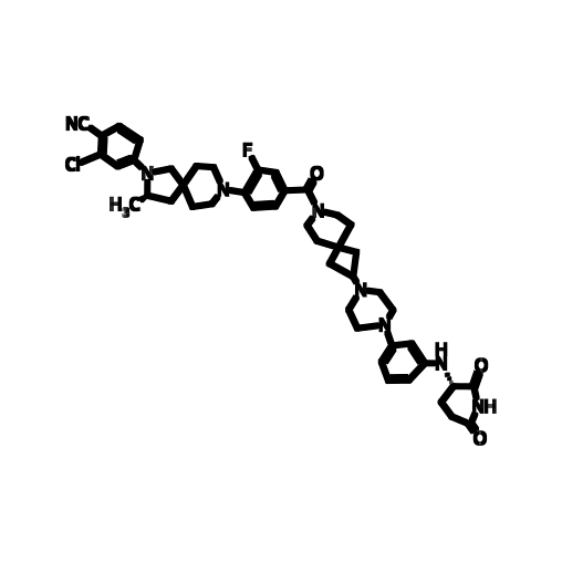 C[C@@H]1CC2(CCN(c3ccc(C(=O)N4CCC5(CC4)CC(N4CCN(c6cccc(N[C@H]7CCC(=O)NC7=O)c6)CC4)C5)cc3F)CC2)CN1c1ccc(C#N)c(Cl)c1